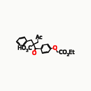 CCOC(=O)COc1ccc(C(=O)C(CC(C)=O)(Cc2ccccc2)C(=O)O)cc1